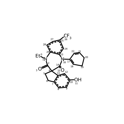 CCN1C(=O)C2(CCc3ccc(O)cc32)C(=O)N(C2=CCCC=C2)c2cc(C(F)(F)F)ccc21